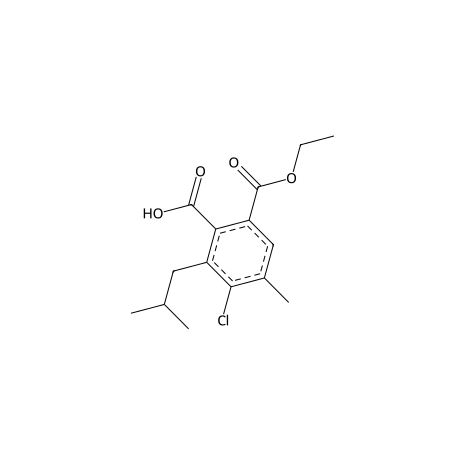 CCOC(=O)c1cc(C)c(Cl)c(CC(C)C)c1C(=O)O